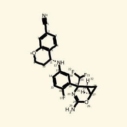 N#Cc1ccc2c(c1)OCC[C@H]2Nc1ccc(F)c([C@@]2(C(F)F)N=C(N)O[C@@H]3C[C@@H]32)c1